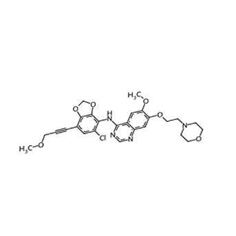 COCC#Cc1cc(Cl)c(Nc2ncnc3cc(OCCN4CCOCC4)c(OC)cc23)c2c1OCO2